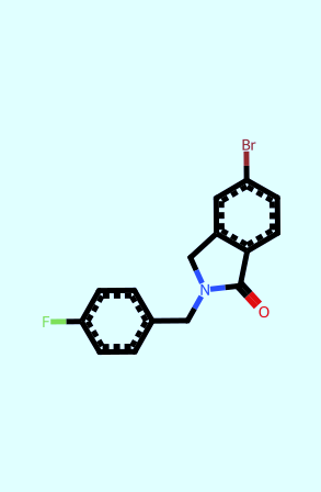 O=C1c2ccc(Br)cc2CN1Cc1ccc(F)cc1